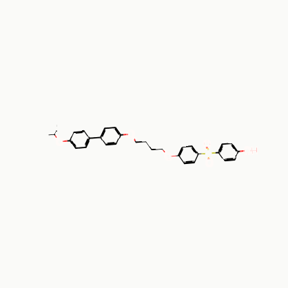 CC(C)Oc1ccc(-c2ccc(OCCCCOc3ccc(S(=O)(=O)c4ccc(O)cc4)cc3)cc2)cc1